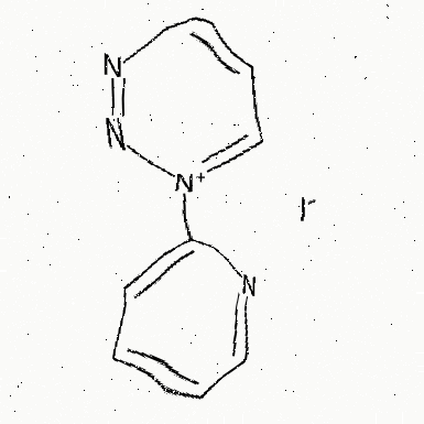 [I-].c1ccc(-[n+]2cccnn2)nc1